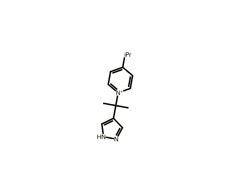 CC(C)c1cc[n+](C(C)(C)c2cn[nH]c2)cc1